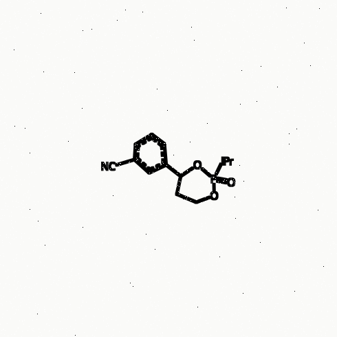 CC(C)P1(=O)OCCC(c2cccc(C#N)c2)O1